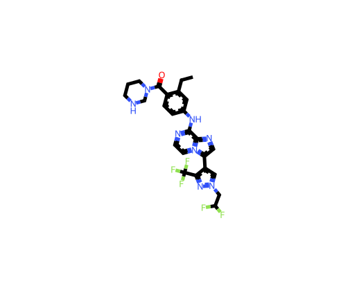 CCc1cc(Nc2nccn3c(-c4cn(CC(F)F)nc4C(F)(F)F)cnc23)ccc1C(=O)N1CCCNC1